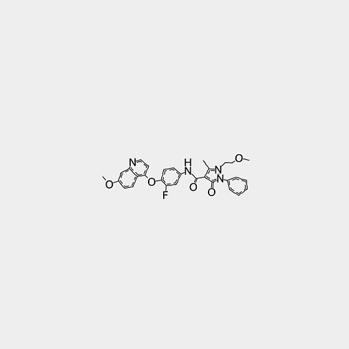 COCCn1c(C)c(C(=O)Nc2ccc(Oc3ccnc4cc(OC)ccc34)c(F)c2)c(=O)n1-c1ccccc1